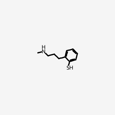 CNCCCc1ccccc1S